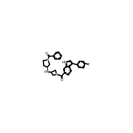 O=C(c1ccc2c(-c3ccc(F)cc3)c[nH]c2c1)N1CC(N[C@H]2CCN(C(=O)c3ccccc3)C2)C1